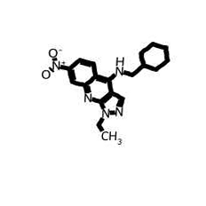 CCn1ncc2c(NCC3CCCCC3)c3ccc([N+](=O)[O-])cc3nc21